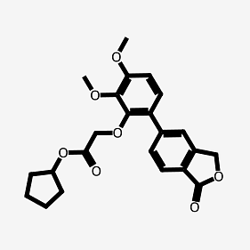 COc1ccc(-c2ccc3c(c2)COC3=O)c(OCC(=O)OC2CCCC2)c1OC